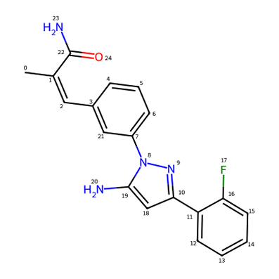 CC(=Cc1cccc(-n2nc(-c3ccccc3F)cc2N)c1)C(N)=O